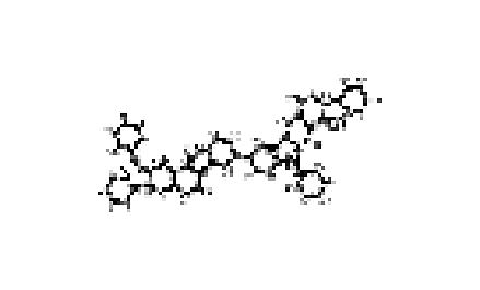 c1ccc(-n2c3ccccc3c3cc4ccc5c6cc(-c7ccc8c(c7)c7cc9ccc%10c%11ccccc%11oc%10c9cc7n8-c7ccccc7)ccc6oc5c4cc32)cc1